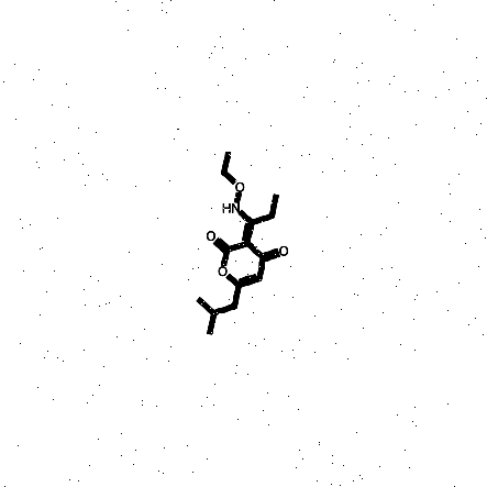 CCONC(CC)=C1C(=O)C=C(CC(C)C)OC1=O